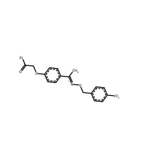 CCC(=O)COc1ccc(/C(C)=N/OCc2ccc(C(F)(F)F)cc2)cc1